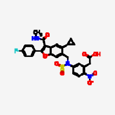 CNC(=O)c1c(-c2ccc(F)cc2)oc2cc(CN(c3ccc([N+](=O)[O-])c(CC(=O)O)c3)[SH](=O)=O)c(C3CC3)cc12